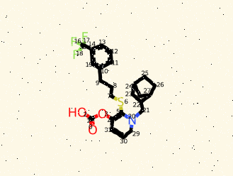 O=C(O)OC1=C(SCCCc2cccc(C(F)(F)F)c2)N(CC2CC3CCC2C3)CC=C1